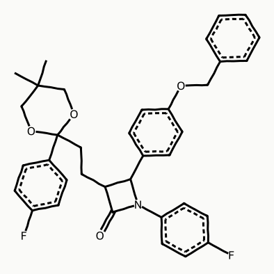 CC1(C)COC(CCC2C(=O)N(c3ccc(F)cc3)C2c2ccc(OCc3ccccc3)cc2)(c2ccc(F)cc2)OC1